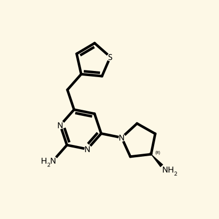 Nc1nc(Cc2ccsc2)cc(N2CC[C@@H](N)C2)n1